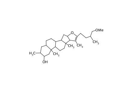 COCC(C)CCC1=C(C)C2C(CC3C4CCC5CC(C)C(O)CC5(C)C4CCC32C)O1